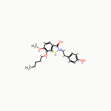 CCCCCOc1c(OC)ccc2c(=O)n(CCc3ccc(O)cc3)sc12